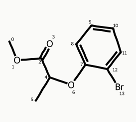 COC(=O)C(C)Oc1ccccc1Br